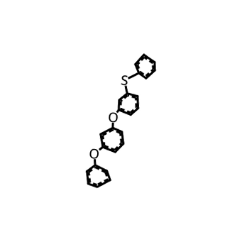 c1ccc(Oc2cccc(Oc3cccc(Sc4ccccc4)c3)c2)cc1